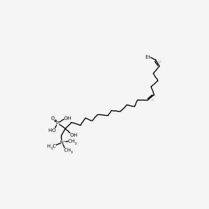 CC/C=C\CCC/C=C\CCCCCCCCCCCC(O)(C[N+](C)(C)C)P(=O)(O)O